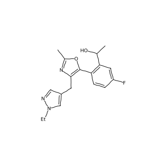 CCn1cc(Cc2nc(C)oc2-c2ccc(F)cc2C(C)O)cn1